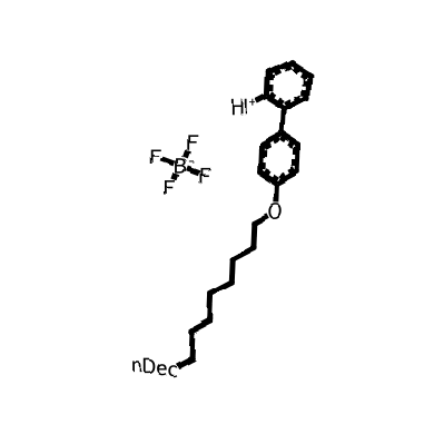 CCCCCCCCCCCCCCCCCCOc1ccc(-c2ccccc2[IH+])cc1.F[B-](F)(F)F